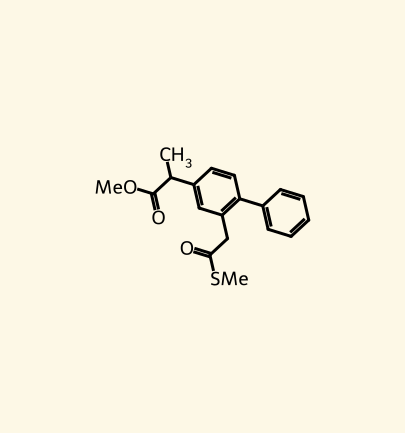 COC(=O)C(C)c1ccc(-c2ccccc2)c(CC(=O)SC)c1